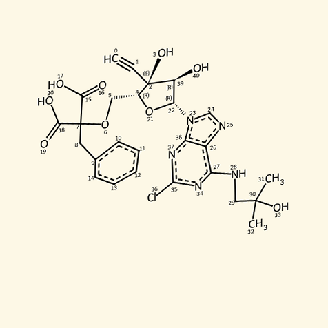 C#C[C@@]1(O)[C@@H](COC(Cc2ccccc2)(C(=O)O)C(=O)O)O[C@@H](n2cnc3c(NCC(C)(C)O)nc(Cl)nc32)[C@@H]1O